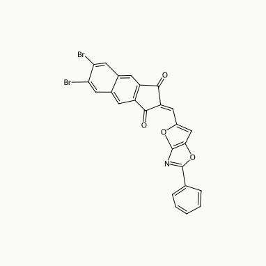 O=C1C(=Cc2cc3oc(-c4ccccc4)nc3o2)C(=O)c2cc3cc(Br)c(Br)cc3cc21